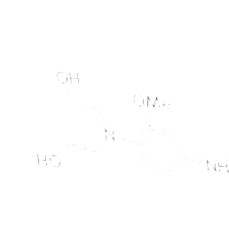 COc1cc(N)ccc1N(CCO)CCO